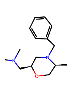 C[C@H]1CO[C@@H](CN(C)C)CN1Cc1ccccc1